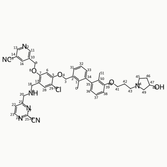 Cc1c(COc2cc(OCc3cncc(C#N)c3)c(CNCc3ccnc(C#N)n3)cc2Cl)cccc1-c1cccc(OCCCN2CCC(O)C2)c1C